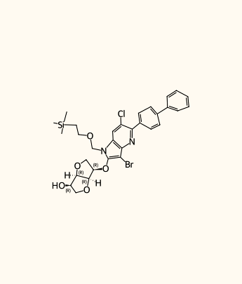 C[Si](C)(C)CCOCn1c(O[C@@H]2CO[C@H]3[C@@H]2OC[C@H]3O)c(Br)c2nc(-c3ccc(-c4ccccc4)cc3)c(Cl)cc21